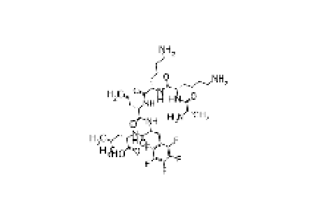 C=CC[C@H](NC(=O)[C@H](CCCCN)NC(=O)[C@H](CCCCN)NC(=O)[C@H](C)N)C(=O)N[C@@H](Cc1c(F)c(F)c(F)c(F)c1F)C(=O)N[C@@H](CC(C)C)C(=O)O